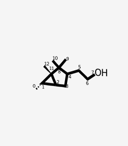 C[C@H]1C2CC(CCO)C(C)(C)[C@]21C